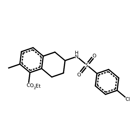 CCOC(=O)c1c(C)ccc2c1CCC(NS(=O)(=O)c1ccc(Cl)cc1)C2